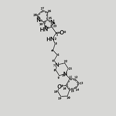 O=C(NCCCCN1CCN(c2cccc3c2OCCC3)CC1)c1nc2cccnc2[nH]1